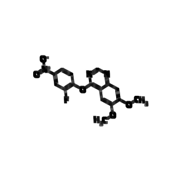 COc1cc2ncnc(Oc3ccc([N+](=O)[O-])cc3F)c2cc1OC